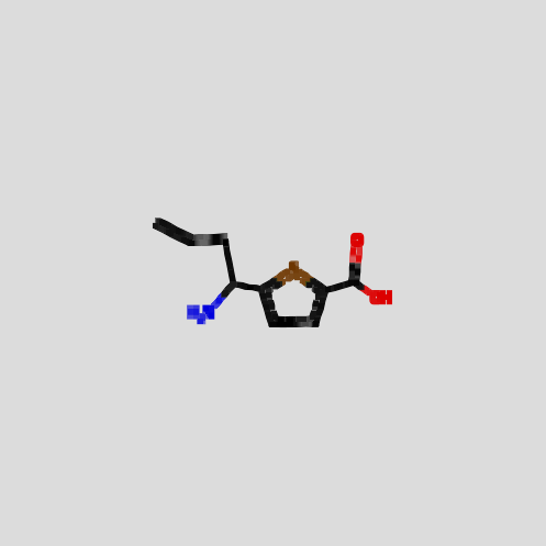 C=C=CC(N)c1ccc(C(=O)O)s1